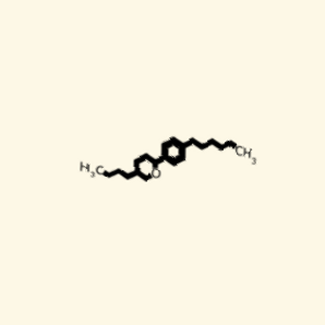 CCCCCCc1ccc(C2CCC(CCCC)CO2)cc1